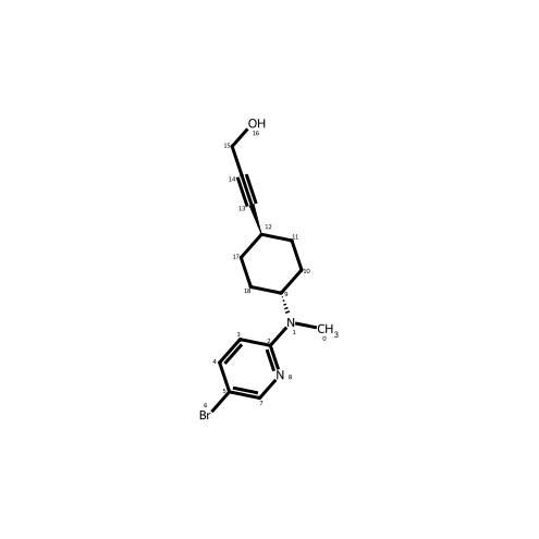 CN(c1ccc(Br)cn1)[C@H]1CC[C@H](C#CCO)CC1